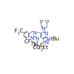 CCOC(=O)c1cnc(N(Cc2cc(C(F)(F)F)cc(C(F)(F)F)c2)Cc2cc3c(C)nn(C(C)(C)C)c3nc2N(CC2CC2)CC2CC2)nc1